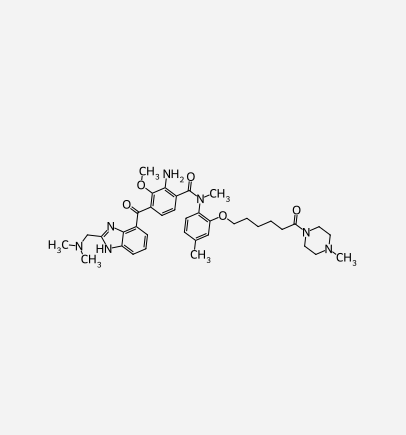 COc1c(C(=O)c2cccc3[nH]c(CN(C)C)nc23)ccc(C(=O)N(C)c2ccc(C)cc2OCCCCCC(=O)N2CCN(C)CC2)c1N